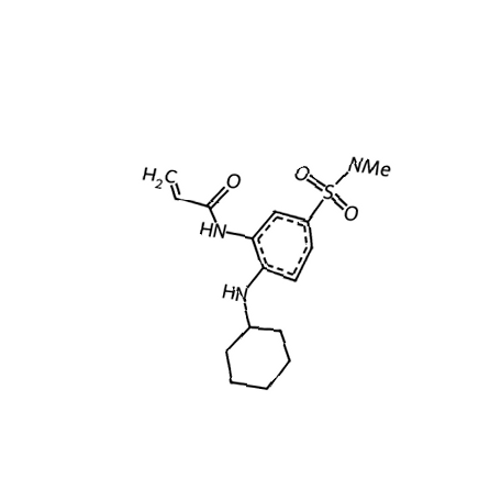 C=CC(=O)Nc1cc(S(=O)(=O)NC)ccc1NC1CCCCC1